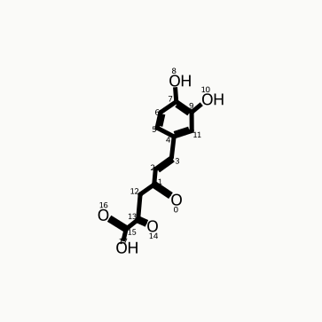 O=C(C=Cc1ccc(O)c(O)c1)CC(=O)C(=O)O